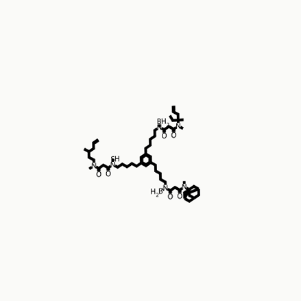 BN(CCCCCc1cc(CCCCCN(B)C(=O)CC(=O)N(C)C23CC4CC(CC(C4)C2)C3)cc(CCCCCN(S)C(=O)CC(=O)N(C)CCC(C)CC=C)c1)C(=O)CC(=O)N(C)C(C)(CC)CC=C